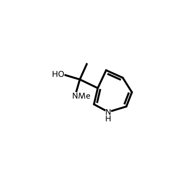 CNC(C)(O)C1=CNC=CC=C1